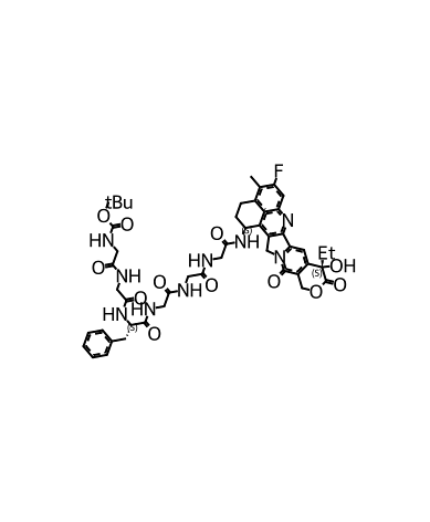 CC[C@@]1(O)C(=O)OCc2c1cc1n(c2=O)Cc2c-1nc1cc(F)c(C)c3c1c2[C@@H](NC(=O)CNC(=O)CNC(=O)CNC(=O)[C@H](Cc1ccccc1)NC(=O)CNC(=O)CNC(=O)OC(C)(C)C)CC3